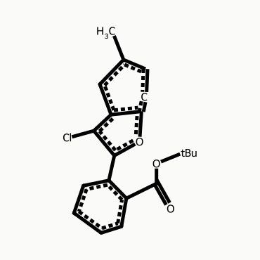 Cc1ccc2oc(-c3ccccc3C(=O)OC(C)(C)C)c(Cl)c2c1